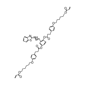 C=CC(=O)OCCCCCCOc1ccc(CCC(=O)Oc2ccc(OC(=O)CCc3ccc(OCCCCCCOC(=O)C=C)cc3)c(/C=N/Nc3nc4ccccc4s3)c2)cc1